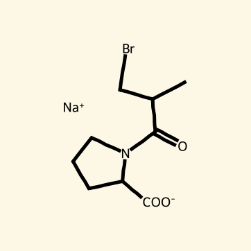 CC(CBr)C(=O)N1CCCC1C(=O)[O-].[Na+]